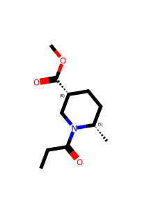 CCC(=O)N1C[C@H](C(=O)OC)CC[C@@H]1C